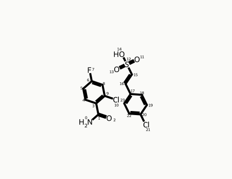 NC(=O)c1ccc(F)cc1Cl.O=S(=O)(O)/C=C/c1ccc(Cl)cc1